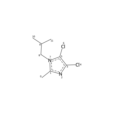 Cc1nc(Cl)c(Cl)n1CC(C)C